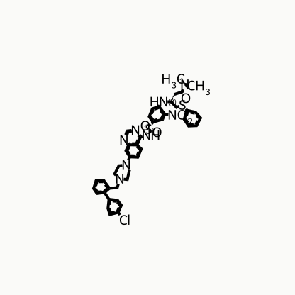 CN(C)C(=O)C[C@H](CSc1ccccc1)Nc1ccc(S(=O)(=O)Nc2ncnc3cc(N4CCN(Cc5ccccc5-c5ccc(Cl)cc5)CC4)ccc23)cc1[N+](=O)[O-]